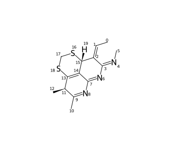 C/C=C1\C(=N/C)N=C2N=C(C)[C@@H](C)C3=C2[C@@H]1SCS3